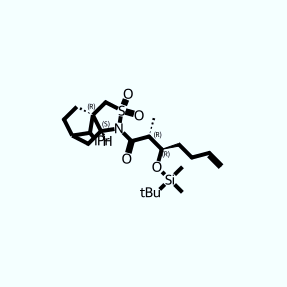 C=CCC[C@@H](O[Si](C)(C)C(C)(C)C)[C@@H](C)C(=O)N1[C@H]2CC3CC[C@@]2(CS1(=O)=O)C3C(C)C